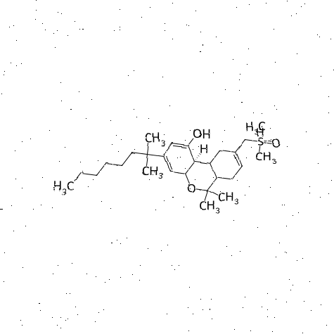 CCCCCCC(C)(C)C1=CC2OC(C)(C)C3CC=C(C[SH](C)(C)=O)CC3[C@@H]2C(O)=C1